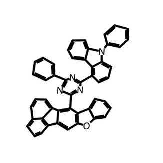 c1ccc(-c2nc(-c3c4c(cc5oc6ccccc6c35)-c3cccc5cccc-4c35)nc(-c3cccc4c3c3ccccc3n4-c3ccccc3)n2)cc1